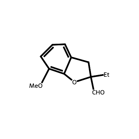 CCC1(C=O)Cc2cccc(OC)c2O1